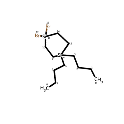 CCCC[Si]1(CCCC)CC[Si](Br)(Br)CC1